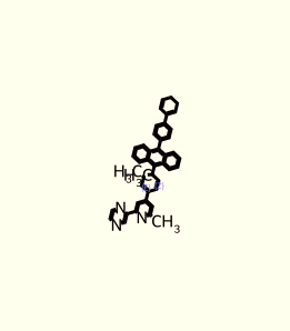 CC/C=C(\C=C/C(C)c1c2ccccc2c(-c2ccc(C3=CCCC=C3)cc2)c2ccccc12)c1cc(C)nc(-c2cnccn2)c1